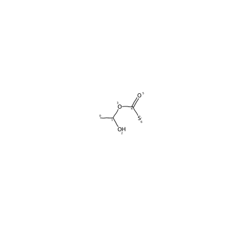 CC(O)OC(=O)[S]